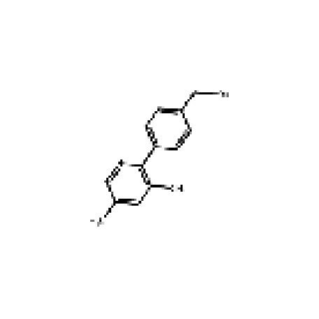 Cc1cnc(-c2ccc(CC(C)(C)C)cc2)c(C)c1